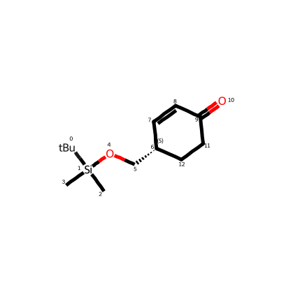 CC(C)(C)[Si](C)(C)OC[C@@H]1C=CC(=O)CC1